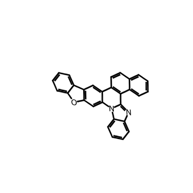 c1ccc2c(c1)ccc1c3cc4c(cc3n3c5ccccc5nc3c21)oc1ccccc14